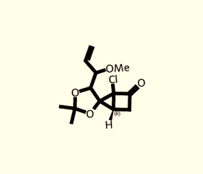 C=CC(OC)C1OC(C)(C)OC12[C@H]1CC(=O)C12Cl